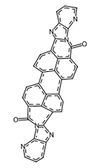 O=c1c2ccc3c4ccc5c6c(ccc(c7ccc(c2c37)c2nc3cccnc3n12)c46)c(=O)n1c2ncccc2nc51